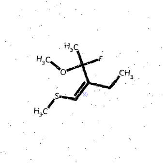 CC/C(=C/SC)C(C)(F)OC